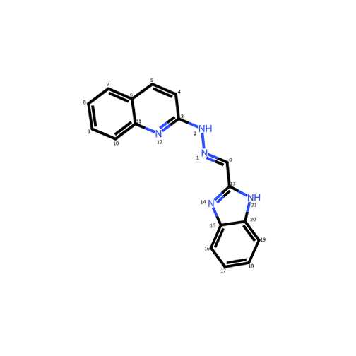 C(=N\Nc1ccc2ccccc2n1)/c1nc2ccccc2[nH]1